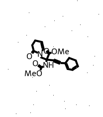 COC(=O)NC(C#CC1=CC=CCC1)(CN1C=CCCC1=O)C(=O)OC